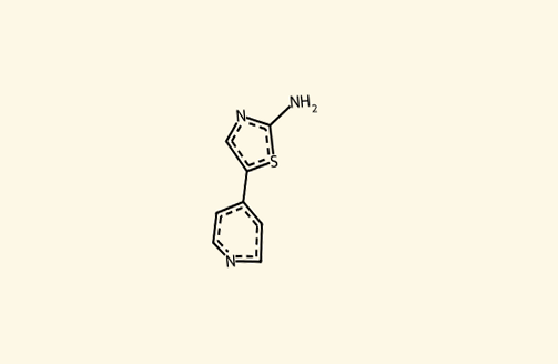 Nc1ncc(-c2ccncc2)s1